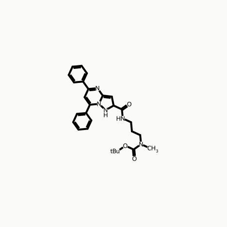 CN(CCCNC(=O)C1C=C2N=C(c3ccccc3)C=C(c3ccccc3)N2N1)C(=O)OC(C)(C)C